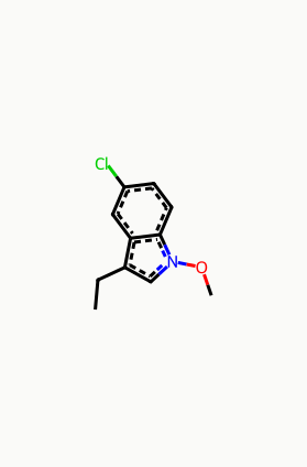 CCc1cn(OC)c2ccc(Cl)cc12